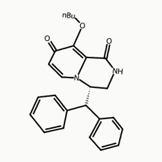 CCCCOc1c2n(ccc1=O)[C@@H](C(c1ccccc1)c1ccccc1)CNC2=O